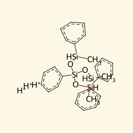 C[SiH](O[Si](O[SiH](C)c1ccccc1)(O[SiH](C)c1ccccc1)c1ccccc1)c1ccccc1.[H+].[H+].[H+]